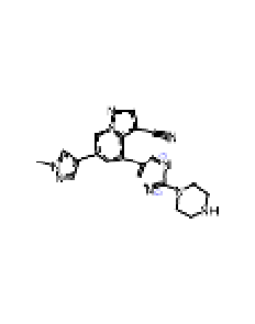 C=C(/C=N\C(=N/C)N1CCNCC1)c1cc(-c2cnn(C)c2)cn2ncc(C#N)c12